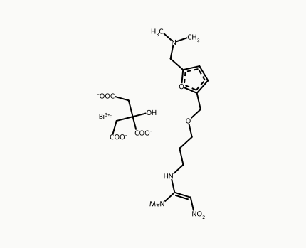 CNC(=C[N+](=O)[O-])NCCCOCc1ccc(CN(C)C)o1.O=C([O-])CC(O)(CC(=O)[O-])C(=O)[O-].[Bi+3]